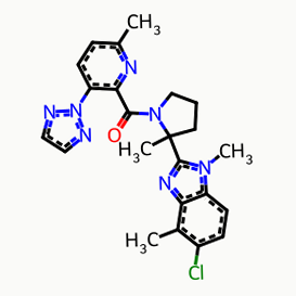 Cc1ccc(-n2nccn2)c(C(=O)N2CCCC2(C)c2nc3c(C)c(Cl)ccc3n2C)n1